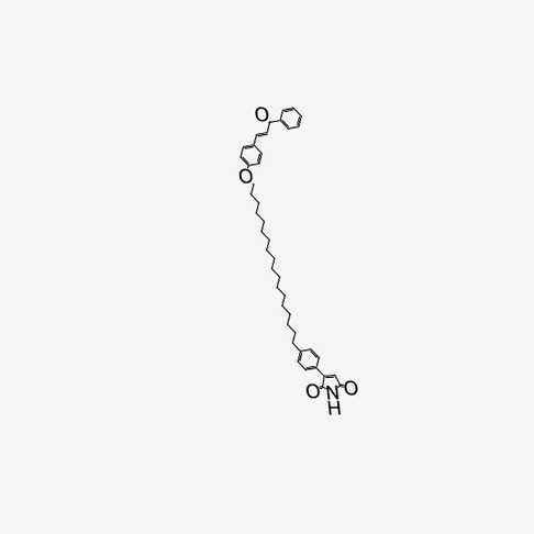 O=C1C=C(c2ccc(CCCCCCCCCCCCCCCCCCOc3ccc(C=CC(=O)c4ccccc4)cc3)cc2)C(=O)N1